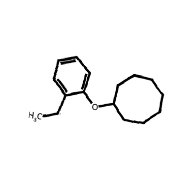 C[CH]c1ccccc1OC1CCCCCCC1